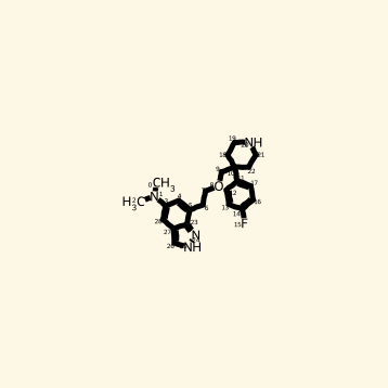 CN(C)c1cc(CCOCC2(c3ccc(F)cc3)CCNCC2)c2n[nH]cc2c1